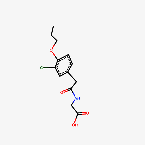 CCCOc1ccc(CC(=O)NCC(=O)O)cc1Cl